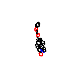 CN1C(=O)CC[C@]2(C)[C@H]3CC[C@]4(C)C(COCCOc5ccccc5)CC[C@H]4[C@@H]3CC[C@@H]12